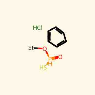 CCO[PH](=O)S.Cl.c1ccccc1